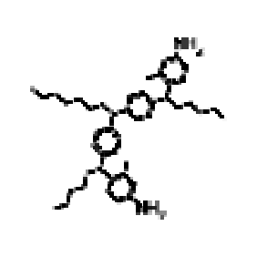 CCCCCCCC(c1ccc(C(CCCCC)c2ccc(N)cc2C)cc1)c1ccc(C(CCCCC)c2ccc(N)cc2C)cc1